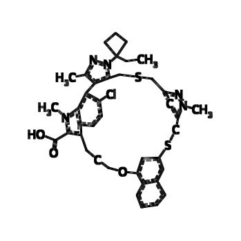 CCC1(n2nc(C)c3c2CSCc2cc(n(C)n2)CSc2cc(c4ccccc4c2)OCCCc2c(C(=O)O)n(C)c4c-3c(Cl)ccc24)CCC1